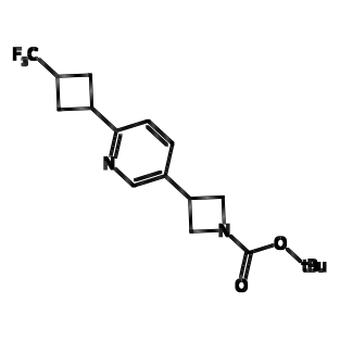 CC(C)(C)OC(=O)N1CC(c2ccc(C3CC(C(F)(F)F)C3)nc2)C1